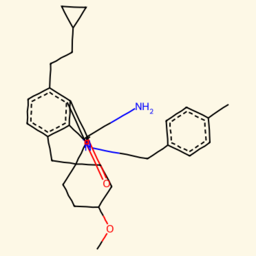 COC1CCC2(CC1)Cc1ccc(CCC3CC3)cc1C21N=C(N)N(Cc2ccc(C)cc2)C1=O